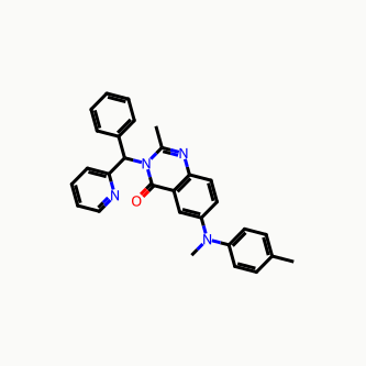 Cc1ccc(N(C)c2ccc3nc(C)n(C(c4ccccc4)c4ccccn4)c(=O)c3c2)cc1